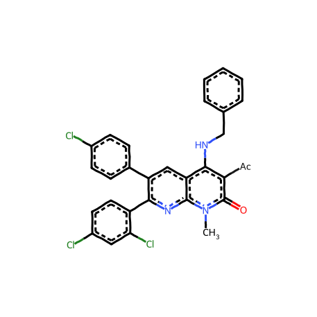 CC(=O)c1c(NCc2ccccc2)c2cc(-c3ccc(Cl)cc3)c(-c3ccc(Cl)cc3Cl)nc2n(C)c1=O